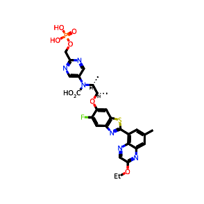 CCOc1cnc2c(-c3nc4cc(F)c(O[C@@H](C)[C@@H](C)N(C(=O)O)c5cnc(COP(=O)(O)O)nc5)cc4s3)cc(C)cc2n1